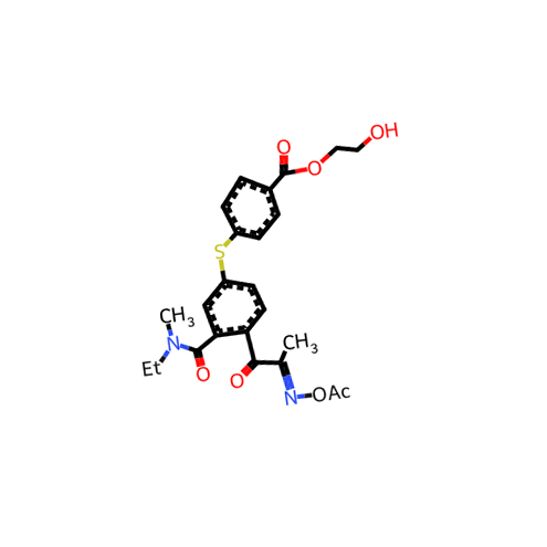 CCN(C)C(=O)c1cc(Sc2ccc(C(=O)OCCO)cc2)ccc1C(=O)/C(C)=N/OC(C)=O